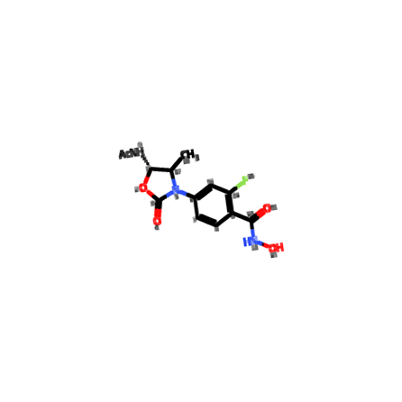 CC(=O)N[C@H]1OC(=O)N(c2ccc(C(=O)NO)c(F)c2)C1C